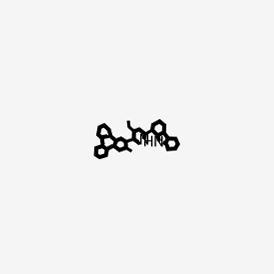 CCc1cc(-c2cccc3c2[nH]c2ccccc23)ncc1-c1cc2c3ccccc3c3ccccc3c2cc1C